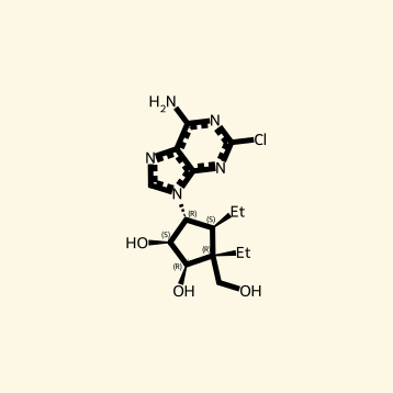 CC[C@@H]1[C@@H](n2cnc3c(N)nc(Cl)nc32)[C@H](O)[C@H](O)[C@@]1(CC)CO